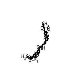 CCOC(=O)/C(C)=C/c1cc(F)c(Oc2ccc(SNCCCCN[S+]([O-])c3ccc(Oc4c(F)cc(/C=C(\C)C(=O)OCC)cc4F)cc3)cc2)c(F)c1